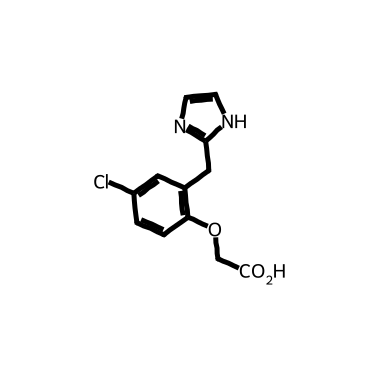 O=C(O)COc1ccc(Cl)cc1Cc1ncc[nH]1